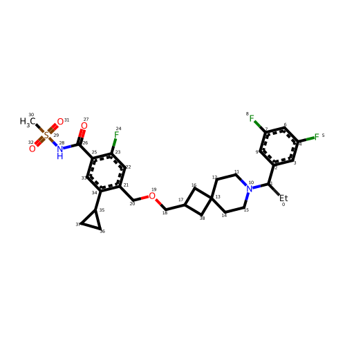 CCC(c1cc(F)cc(F)c1)N1CCC2(CC1)CC(COCc1cc(F)c(C(=O)NS(C)(=O)=O)cc1C1CC1)C2